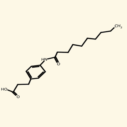 CCCCCCCCCC(=O)Nc1ccc(CCC(=O)O)cc1